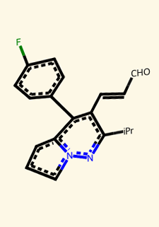 CC(C)c1nn2cccc2c(-c2ccc(F)cc2)c1C=CC=O